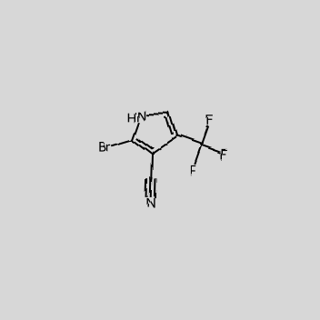 N#Cc1c(C(F)(F)F)c[nH]c1Br